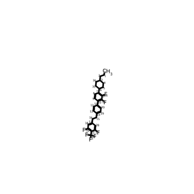 CCCC1CCC(c2ccc(-c3ccc(CCc4cc(F)c(C(F)(F)F)c(F)c4)cc3)c(F)c2F)CC1